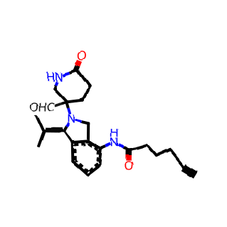 C#CCCCC(=O)Nc1cccc2c1CN(C1(C=O)CCC(=O)NC1)C2=C(C)C